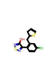 Oc1nsnc1-c1ccc(Cl)cc1CC1CC=CS1